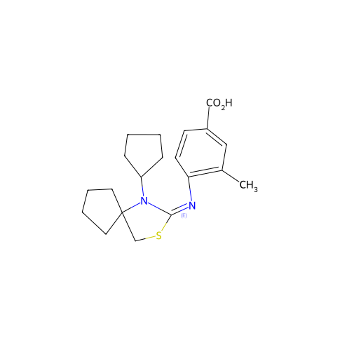 Cc1cc(C(=O)O)ccc1/N=C1/SCC2(CCCC2)N1C1CCCC1